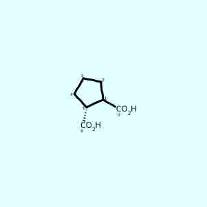 O=C(O)C1CCC[C@H]1C(=O)O